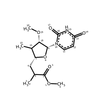 COC(=O)C(C)C[C@H]1O[C@@H](n2ccc(=O)[nH]c2=O)[C@@H](OC)C1C